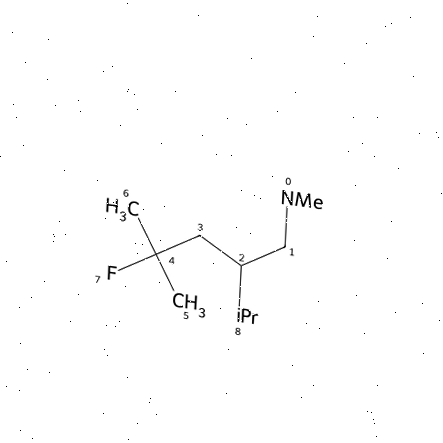 CNCC(CC(C)(C)F)C(C)C